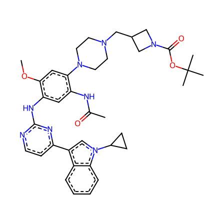 COc1cc(N2CCN(CC3CN(C(=O)OC(C)(C)C)C3)CC2)c(NC(C)=O)cc1Nc1nccc(-c2cn(C3CC3)c3ccccc23)n1